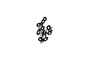 c1ccc2cc3c(cc2c1)c1ccccc1n3-c1ccc(-c2nc(-c3cccc4oc5ccccc5c34)nc(-c3cccc4sc5ccccc5c34)n2)c2c1sc1ccccc12